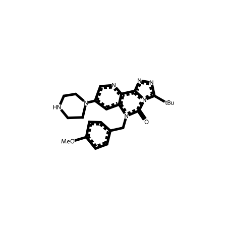 COc1ccc(Cn2c(=O)n3c(C(C)(C)C)nnc3c3ncc(N4CCNCC4)cc32)cc1